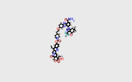 CCc1c2c(nc3ccc(OC(=O)N4CCC(CCO[C@H]5CC[C@H](Nc6cc(-n7nc(C(F)(F)F)c8c7CC(C)(C)CC8=O)ccc6C(N)=O)CC5)CC4)cc13)-c1cc3c(c(=O)n1C2)COC(=O)[C@]3(O)CC